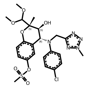 COC(OC)[C@@]1(C)Oc2ccc(OS(C)(=O)=O)cc2[C@@H](N(Cc2nnn(C)n2)c2ccc(Cl)cc2)[C@@H]1O